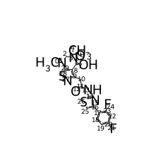 CN1C[N+](C)([O-])C(O)c2c(CC(=O)Nc3nc(-c4ccc(F)cc4F)cs3)nsc21